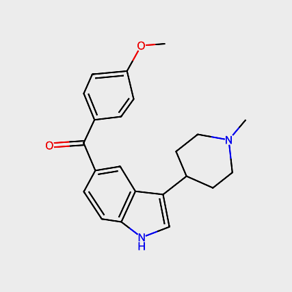 COc1ccc(C(=O)c2ccc3[nH]cc(C4CCN(C)CC4)c3c2)cc1